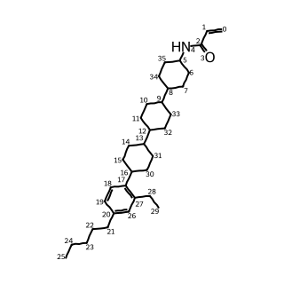 C=CC(=O)NC1CCC(C2CCC(C3CCC(c4ccc(CCCCC)cc4CC)CC3)CC2)CC1